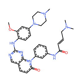 COc1cc(N2CCN(C)CC2)ccc1Nc1ncc2ccc(=O)n(-c3cccc(NC(=O)C=CCN(C)C)c3)c2n1